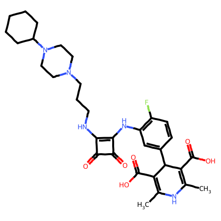 CC1=C(C(=O)O)C(c2ccc(F)c(Nc3c(NCCCN4CCN(C5CCCCC5)CC4)c(=O)c3=O)c2)C(C(=O)O)=C(C)N1